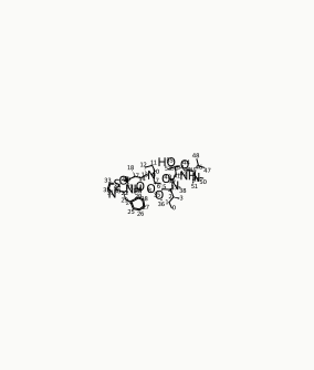 CC[C@H](C)[C@@H]([C@@H](CC(=O)N1CCC[C@H]1[C@H](OC)[C@@H](C)C(=O)N[C@@H](Cc1ccccc1)c1nccs1)OC)N(C)C(=O)[C@@H](NC(=O)[C@H](C(C)C)N(C)C)C(C)(C)O